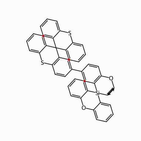 c1ccc2c(c1)Oc1ccccc1[Si]21c2ccccc2Oc2ccc(-c3ccc4c(c3)C3(c5ccccc5Sc5ccccc53)c3ccccc3S4)cc21